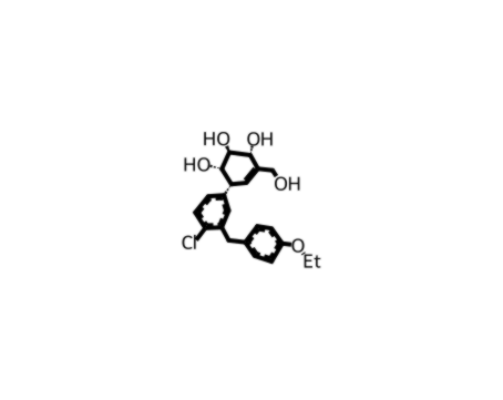 CCOc1ccc(Cc2cc([C@H]3C=C(CO)[C@@H](O)[C@H](O)[C@H]3O)ccc2Cl)cc1